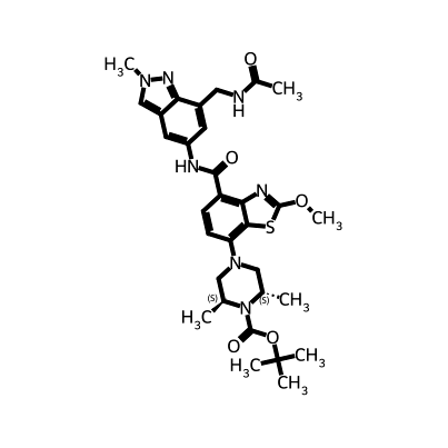 COc1nc2c(C(=O)Nc3cc(CNC(C)=O)c4nn(C)cc4c3)ccc(N3C[C@H](C)N(C(=O)OC(C)(C)C)[C@@H](C)C3)c2s1